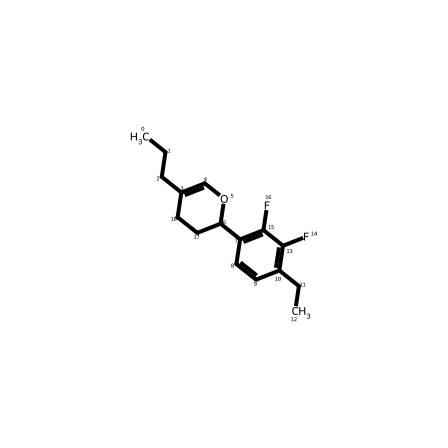 CCCC1=COC(c2ccc(CC)c(F)c2F)CC1